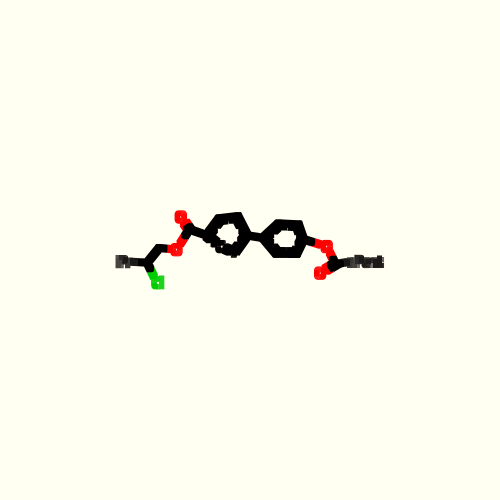 CCCCCC(=O)Oc1ccc(-c2ccc(C(=O)OCC(Cl)C(C)C)cc2)cc1